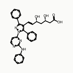 O=C(O)C[C@H](O)C[C@H](O)/C=C/c1c(-c2ccccc2)nn(-c2ccnc(Nc3ccccc3)n2)c1-c1ccccc1